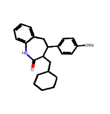 COc1ccc(C2Cc3ccccc3NC(=O)C2CC2CCCCC2)cc1